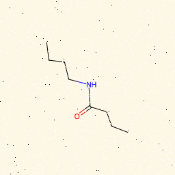 CC[CH]C(=O)NCCCC